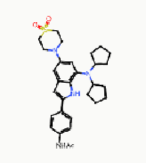 CC(=O)Nc1ccc(-c2cc3cc(N4CCS(=O)(=O)CC4)cc(N(C4CCCC4)C4CCCC4)c3[nH]2)cc1